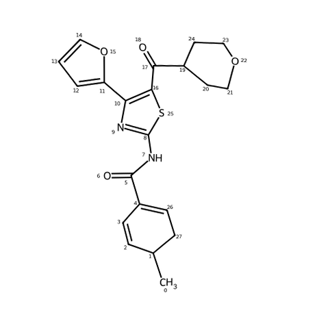 CC1C=CC(C(=O)Nc2nc(-c3ccco3)c(C(=O)C3CCOCC3)s2)=CC1